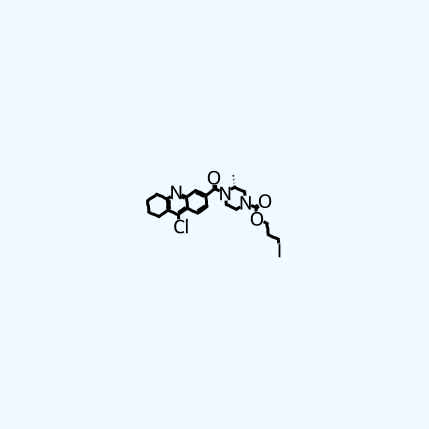 C[C@@H]1CN(C(=O)OCCCI)CCN1C(=O)c1ccc2c(Cl)c3c(nc2c1)CCCC3